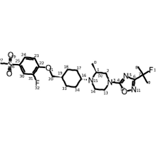 C[C@H]1CN(c2nc(C(C)(C)F)no2)CCN1[C@H]1CC[C@H](COc2ccc(S(C)(=O)=O)cc2F)CC1